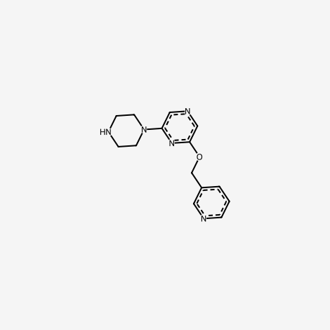 c1cncc(COc2cncc(N3CCNCC3)n2)c1